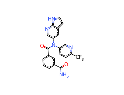 NC(=O)c1cccc(C(=O)N(c2ccc(C(F)(F)F)nc2)c2cnc3[nH]ccc3c2)c1